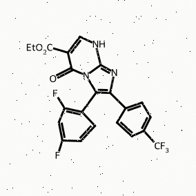 CCOC(=O)c1c[nH]c2nc(-c3ccc(C(F)(F)F)cc3)c(-c3ccc(F)cc3F)n2c1=O